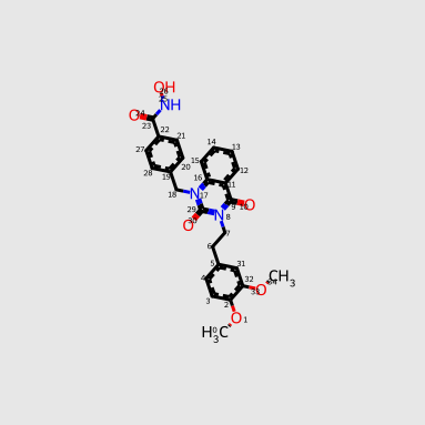 COc1ccc(CCn2c(=O)c3ccccc3n(Cc3ccc(C(=O)NO)cc3)c2=O)cc1OC